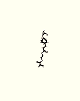 C=C(C)C(=O)OCCOC(=O)CCc1ccc(SC(C)C)cc1